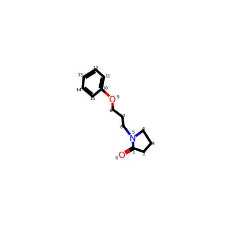 O=C1CCCN1CCCOc1ccccc1